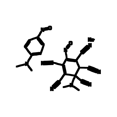 CN(C)C1(C#N)C(C#N)=C(C#N)C(N=O)=C(C#N)C1C#N.CN(C)c1ccc(N=O)cc1.[Na]